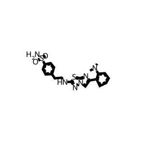 CN(C)c1ccccc1-c1cn2nc(NCCc3ccc(S(N)(=O)=O)cc3)sc2n1